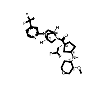 CO[C@@H]1COCC[C@@H]1N[C@@H]1CC[C@](CC(F)F)(C(=O)N2C[C@@H]3C[C@H]2CN3c2cc(C(F)(F)F)ccn2)C1